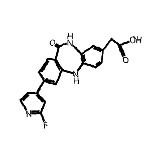 O=C(O)Cc1ccc2c(c1)NC(=O)c1ccc(-c3ccnc(F)c3)cc1N2